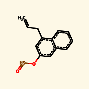 C=CCc1cc(O[SH]=O)cc2ccccc12